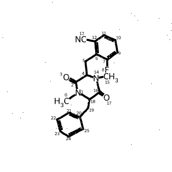 CN1C(=O)C(Cc2c(F)cccc2C#N)N(C)C(=O)C1Cc1ccccc1